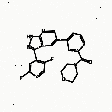 O=C(c1cccc(-c2cnc3[nH]nc(-c4cc(F)ccc4F)c3c2)c1)N1CCOCC1